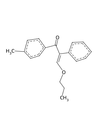 CCCOC=C(C(=O)c1ccc(C)cc1)c1ccccc1